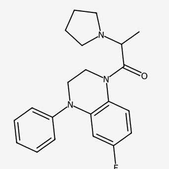 CC(C(=O)N1CCN(c2ccccc2)c2cc(F)ccc21)N1CCCC1